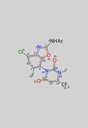 CC(=O)Nc1nc2c(Cl)cc(F)c(-n3c(=O)cc(C(F)(F)F)n(C)c3=O)c2o1